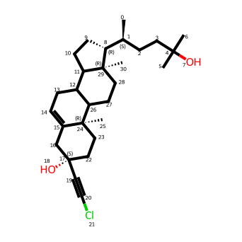 C[C@@H](CCC(C)(C)O)[C@H]1CCC2C3CC=C4C[C@](O)(C#CCl)CC[C@]4(C)C3CC[C@@]21C